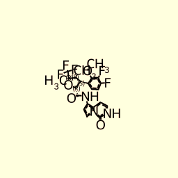 COc1c([C@H]2[C@H](C(=O)Nc3ccn4c(=O)[nH]ccc34)O[C@@](C)(C(F)(F)F)[C@H]2C)ccc(F)c1F